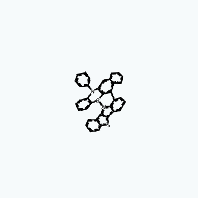 c1ccc(N2c3ccccc3B3c4c2cc2ccccc2c4-c2cccc4c5sc6ccccc6c5n3c24)cc1